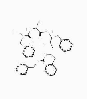 CC(C)[C@H](NC(=O)N(C)Cc1ccccn1)C(=O)N[C@@H](Cc1ccccc1)[C@@H](O)C[C@H](Cc1ccccc1)NC(=O)OCc1cncnc1